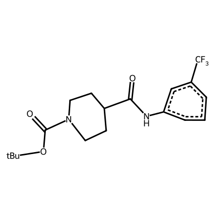 CC(C)(C)OC(=O)N1CCC(C(=O)Nc2cccc(C(F)(F)F)c2)CC1